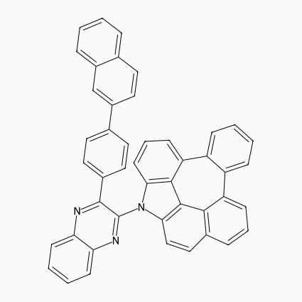 c1ccc2c(c1)-c1cccc3ccc4c(c13)c1c-2cccc1n4-c1nc2ccccc2nc1-c1ccc(-c2ccc3ccccc3c2)cc1